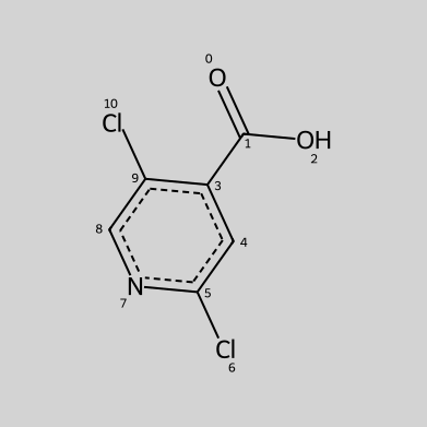 O=C(O)c1cc(Cl)ncc1Cl